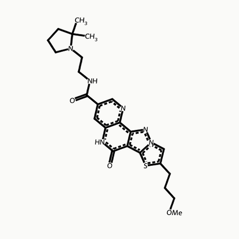 COCCCc1cn2nc3c4ncc(C(=O)NCCN5CCCC5(C)C)cc4[nH]c(=O)c3c2s1